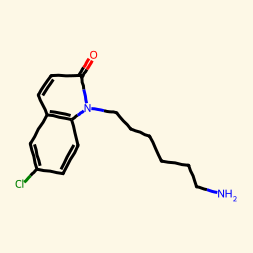 NCCCCCCn1c(=O)ccc2cc(Cl)ccc21